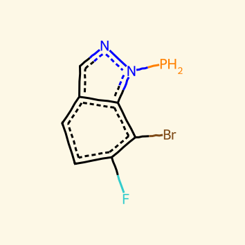 Fc1ccc2cnn(P)c2c1Br